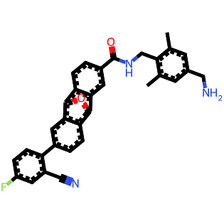 Cc1cc(CN)cc(C)c1CNC(=O)c1ccc2c(c1)c1oc2c2cc(-c3ccc(F)cc3C#N)ccc21